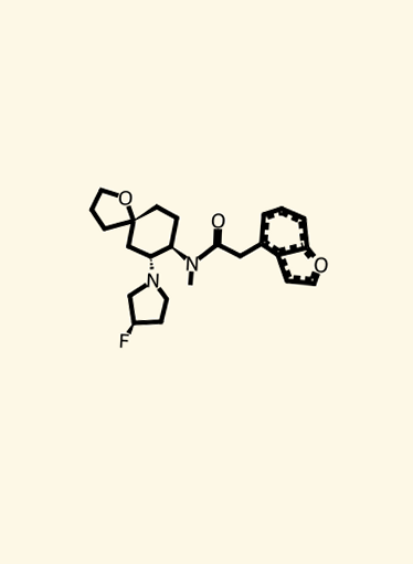 CN(C(=O)Cc1cccc2occc12)[C@@H]1CC[C@]2(CCCO2)C[C@H]1N1CC[C@@H](F)C1